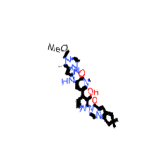 COCCN1CCn2nc(Nc3cc(-c4ccnc(-n5ccn6c7c(cc6c5=O)CC(C)(C)C7)c4CO)cn(C)c3=O)cc2[C@@H]1C